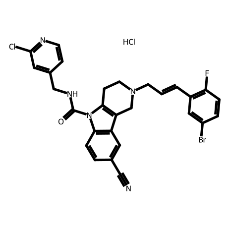 Cl.N#Cc1ccc2c(c1)c1c(n2C(=O)NCc2ccnc(Cl)c2)CCN(C/C=C/c2cc(Br)ccc2F)C1